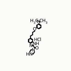 CN(C)c1cccc(OCCCCc2ccc3nc(C(=O)N4CCNCC4)[nH]c3c2)c1.Cl